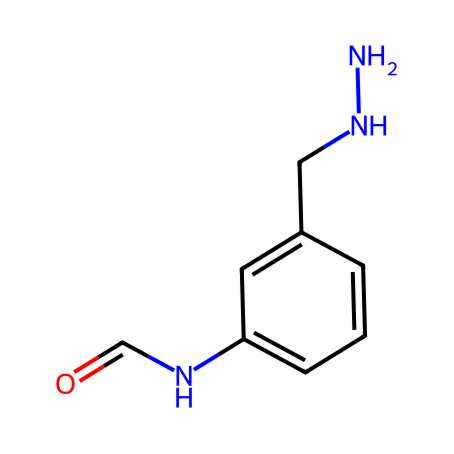 NNCc1cccc(NC=O)c1